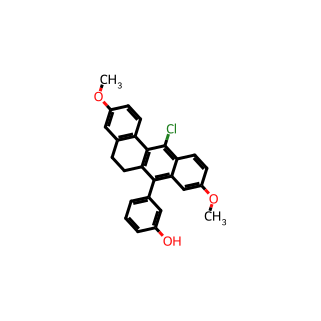 COc1ccc2c(c1)CCc1c-2c(Cl)c2ccc(OC)cc2c1-c1cccc(O)c1